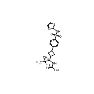 CC(C)(C)C(NC(=O)O)C1CN(c2ccc(S(=O)(=O)Nc3nccs3)cc2)C1